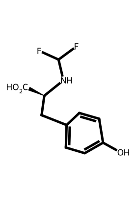 O=C(O)[C@H](Cc1ccc(O)cc1)NC(F)F